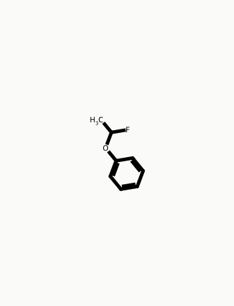 CC(F)Oc1[c]cccc1